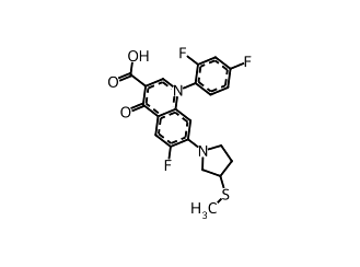 CSC1CCN(c2cc3c(cc2F)c(=O)c(C(=O)O)cn3-c2ccc(F)cc2F)C1